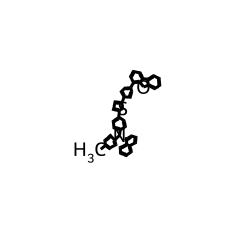 Cc1ccc(N(c2ccc(-c3ccc(-c4ccc(-c5cccc6c5oc5ccccc56)cc4)s3)cc2)c2cccc3ccccc23)cc1